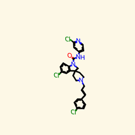 O=C(Nc1ccnc(Cl)c1)N1CC2(CCN(CC=Cc3ccc(Cl)cc3)CC2)c2cc(Cl)ccc21